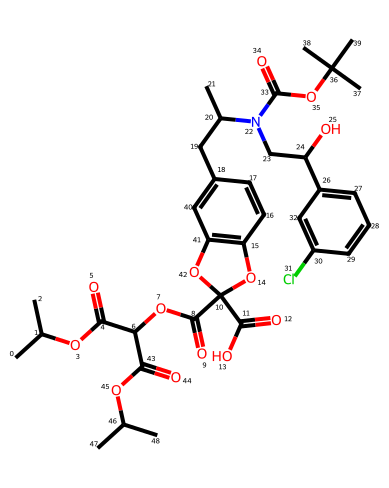 CC(C)OC(=O)C(OC(=O)C1(C(=O)O)Oc2ccc(CC(C)N(CC(O)c3cccc(Cl)c3)C(=O)OC(C)(C)C)cc2O1)C(=O)OC(C)C